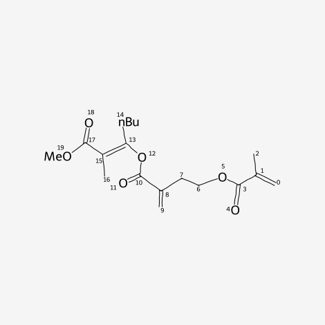 C=C(C)C(=O)OCCC(=C)C(=O)OC(CCCC)=C(C)C(=O)OC